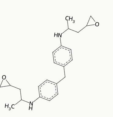 CC(CC1CO1)Nc1ccc(Cc2ccc(NC(C)CC3CO3)cc2)cc1